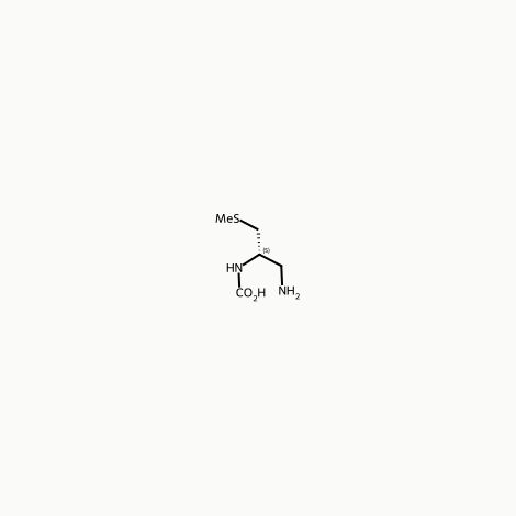 CSC[C@H](CN)NC(=O)O